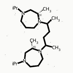 CC(C)N1CCCN(C(C)CCC(C)N2CCCN(C(C)C)C[C@@H]2C)[C@@H](C)C1